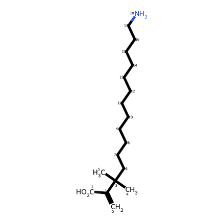 C=C(C(=O)O)C(C)(C)CCCCCCCCCCCCN